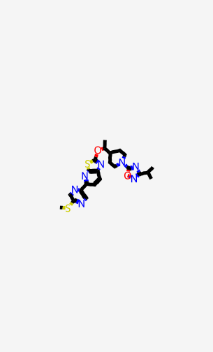 CSc1cnc(-c2ccc3nc(OC(C)C4CCN(c5nc(C(C)C)no5)CC4)sc3n2)cn1